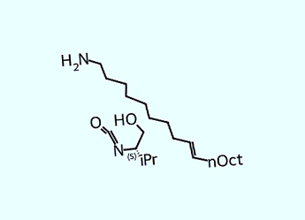 CC(C)[C@@H](CO)N=C=O.CCCCCCCCC=CCCCCCCCCN